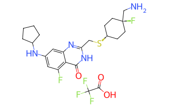 NC[C@]1(F)CC[C@@H](SCc2nc3cc(NC4CCCC4)cc(F)c3c(=O)[nH]2)CC1.O=C(O)C(F)(F)F